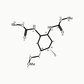 COOC[C@@H]1CC(NC(=O)OC(C)(C)C)C(NC(=O)OC(C)(C)C)C[C@@H]1C